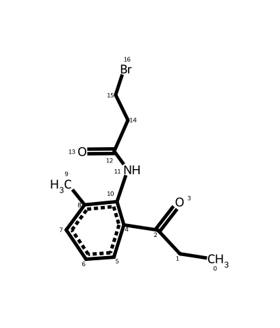 CCC(=O)c1cccc(C)c1NC(=O)CCBr